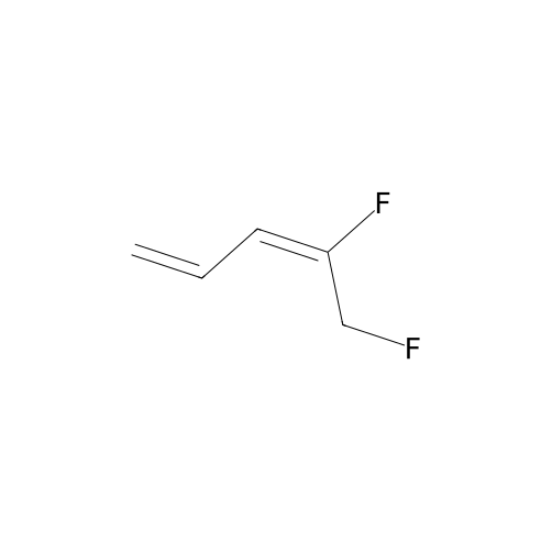 C=C/C=C(/F)CF